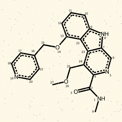 CNC(=O)c1ncc2[nH]c3cccc(OCc4ccncc4)c3c2c1COC